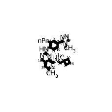 CCCc1cc(-c2nncn2C)ccc1Nc1ncc2cc(C)nc(NCC3(C)CCC3)c2n1